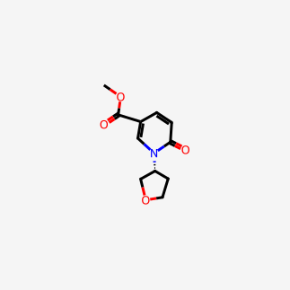 COC(=O)c1ccc(=O)n([C@@H]2CCOC2)c1